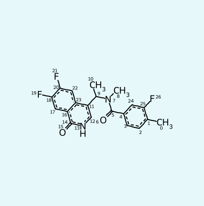 Cc1ccc(C(=O)N(C)C(C)c2c[nH]c(=O)c3cc(F)c(F)cc23)cc1F